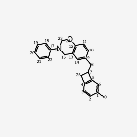 Cc1ccc2c(c1)C(Cc1ccc3c(c1)CN(c1ccccc1)CO3)C2